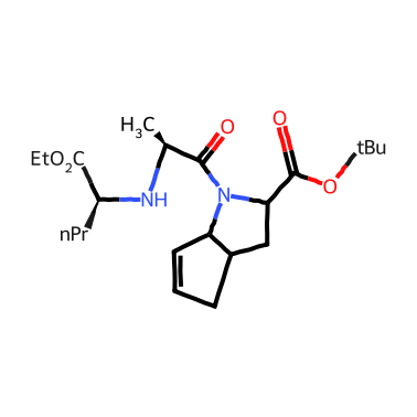 CCC[C@H](N[C@@H](C)C(=O)N1C(C(=O)OC(C)(C)C)CC2CC=CC21)C(=O)OCC